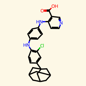 O=C(O)c1cnccc1Nc1ccc(Nc2ccc(C34CC5CC(CC(C5)C3)C4)cc2Cl)cc1